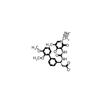 COc1cccc(-c2cccc([C@H](CC(=O)[O-])NC(=O)Nc3c([O-])c(C)cn(C)c3=O)c2)c1OC.[Na+].[Na+]